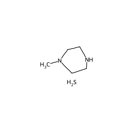 CN1CCNCC1.S